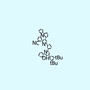 CC(C)(C)c1cc(-c2cc(-c3cccc(-c4cc(-c5cccc6c7ccccc7n(-c7ccc(C#N)cc7)c56)ccn4)c3)nc(-c3ccccc3O)c2)cc(C(C)(C)C)c1